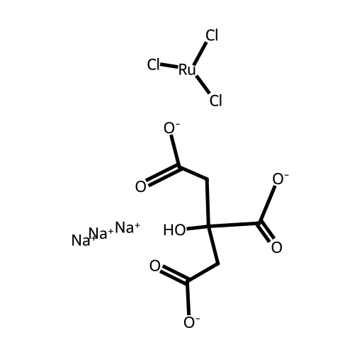 O=C([O-])CC(O)(CC(=O)[O-])C(=O)[O-].[Cl][Ru]([Cl])[Cl].[Na+].[Na+].[Na+]